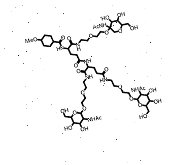 COC1CCC(C(=O)NC(CCC(=O)NC(CCC(=O)NCCOCCOC2OC(CO)C(O)C(O)C2NC(C)=O)C(=O)NCCOCCOC2OC(CO)C(O)C(O)C2NC(C)=O)C(=O)NCCOCCOC2(NC(C)=O)COC(CO)C(O)C2O)CC1